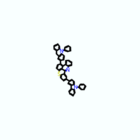 c1ccc(N2c3ccccc3Cc3cc(-c4ccc5c6c(nc7ccccc7c46)-c4cc(-c6ccc7c(c6)c6ccccc6n7-c6ccccc6)ccc4S5)ccc32)cc1